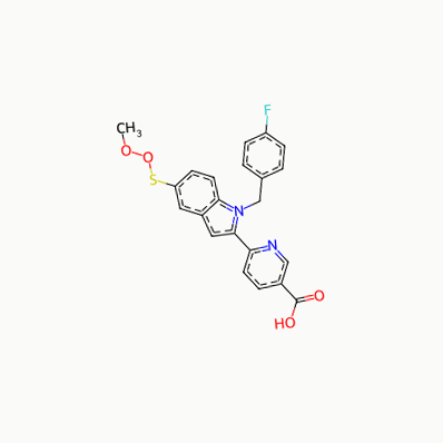 COOSc1ccc2c(c1)cc(-c1ccc(C(=O)O)cn1)n2Cc1ccc(F)cc1